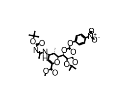 COC(=O)C1=C[C@@H](N/C(C)=N\C(=O)OC(C)(C)C)[C@H](C)[C@@H]([C@H](OC(=O)Oc2ccc([N+](=O)[O-])cc2)[C@H]2COC(C)(C)O2)O1